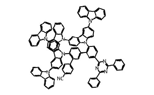 N#Cc1ccc(-c2cc(-c3cc(-c4nc(-c5ccccc5)nc(-c5ccccc5)n4)ccc3-n3c4ccc(-n5c6ccccc6c6ccccc65)cc4c4cc(-n5c6ccccc6c6ccccc65)ccc43)ccc2-n2c3ccc(-n4c5ccccc5c5ccccc54)cc3c3cc(-n4c5ccccc5c5ccccc54)ccc32)cc1